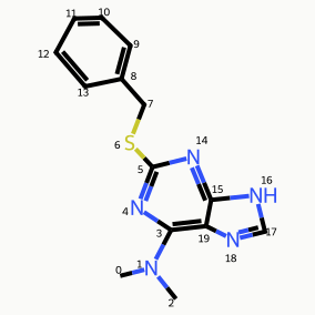 CN(C)c1nc(SCc2ccccc2)nc2[nH]cnc12